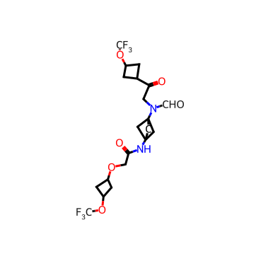 O=CN(CC(=O)C1CC(OC(F)(F)F)C1)C12CC(NC(=O)COC3CC(OC(F)(F)F)C3)(C1)C2